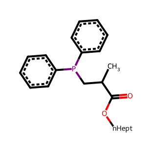 CCCCCCCOC(=O)C(C)CP(c1ccccc1)c1ccccc1